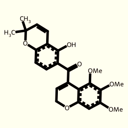 COc1cc2c(c(OC)c1OC)C(C(=O)c1ccc3c(c1O)C=CC(C)(C)O3)=CCO2